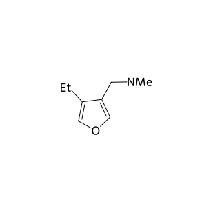 CCc1cocc1CNC